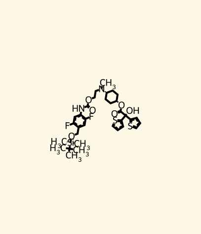 CN(CCOC(=O)Nc1cc(F)c(CO[Si](C)(C)C(C)(C)C)cc1F)[C@H]1CC[C@H](OC(=O)C(O)(c2cccs2)c2cccs2)CC1